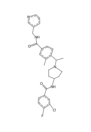 Cc1cc(C(=O)NCc2cccnc2)ccc1C(C)N1CCC(NC(=O)c2ccc(F)c(Cl)c2)CC1